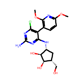 COc1ccc(-c2c(Cl)nc(N)nc2N[C@@H]2C[C@H](CO)[C@@H](O)[C@H]2O)c(OC)n1